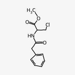 COC(=O)C(CCl)NC(=O)Cc1ccccc1